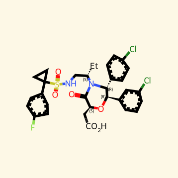 CC[C@@H](CNS(=O)(=O)C1(c2ccc(F)cc2)CC1)N1C(=O)[C@H](CC(=O)O)O[C@H](c2cccc(Cl)c2)[C@H]1c1ccc(Cl)cc1